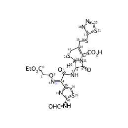 CCOC(=O)CO/N=C(\C(=O)NC1C(=O)N2C(C(=O)O)=C(CSc3nncs3)CS[C@H]12)c1csc(NC=O)n1